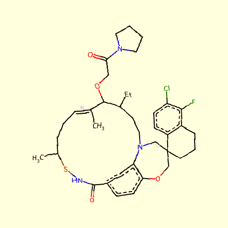 CCC1CCN2CC3(CCCc4c3ccc(Cl)c4F)COc3ccc(cc32)C(=O)NSC(C)CC/C=C(\C)C1OCC(=O)N1CCCC1